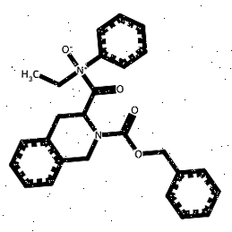 CC[N+]([O-])(C(=O)C1Cc2ccccc2CN1C(=O)OCc1ccccc1)c1ccccc1